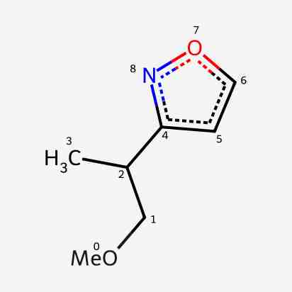 [CH2]OCC(C)c1ccon1